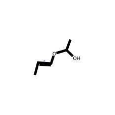 C/C=C/OC(C)O